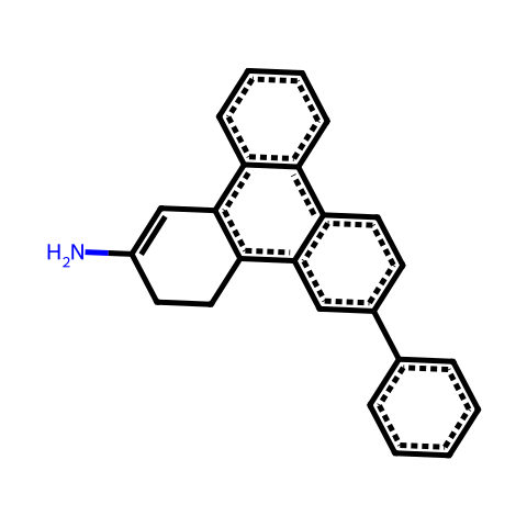 NC1=Cc2c(c3cc(-c4ccccc4)ccc3c3ccccc23)CC1